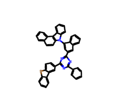 c1ccc(-c2nc(-c3cc(-n4c5ccccc5c5c6ccccc6ccc54)c4ccccc4c3)nc(-c3ccc4sc5ccccc5c4c3)n2)cc1